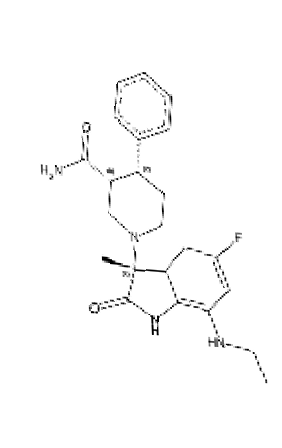 CCNC1=C2NC(=O)[C@](C)(N3CC[C@@H](c4ccccc4)[C@@H](C(N)=O)C3)C2CC(F)=C1